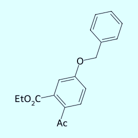 CCOC(=O)c1cc(OCc2ccccc2)ccc1C(C)=O